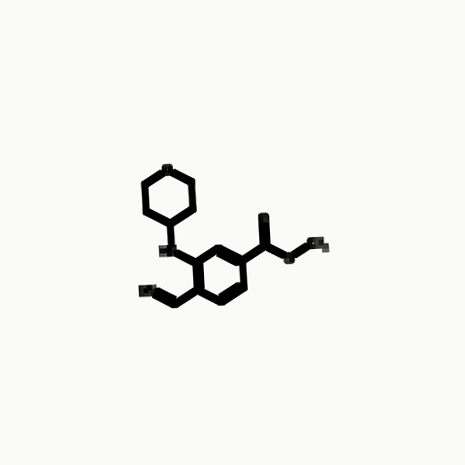 COC(=O)c1ccc(C=N)c(NC2CCOCC2)c1